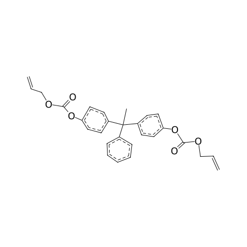 C=CCOC(=O)Oc1ccc(C(C)(c2ccccc2)c2ccc(OC(=O)OCC=C)cc2)cc1